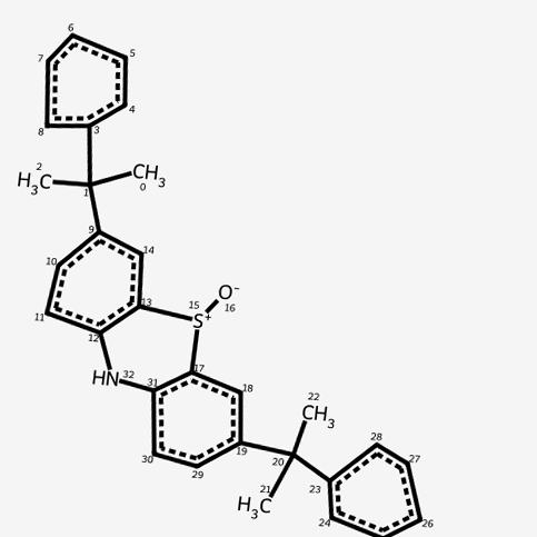 CC(C)(c1ccccc1)c1ccc2c(c1)[S+]([O-])c1cc(C(C)(C)c3ccccc3)ccc1N2